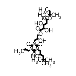 C=CCn1c(=O)n(CC(O)COC(=O)C(O)C(O)CC(=O)OC(C)(C)CC)c(=O)n(CC(O)CC(C)(C)C)c1=O